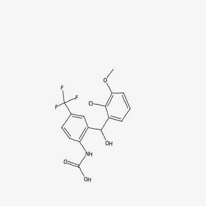 COc1cccc(C(O)c2cc(C(F)(F)F)ccc2NC(=O)O)c1Cl